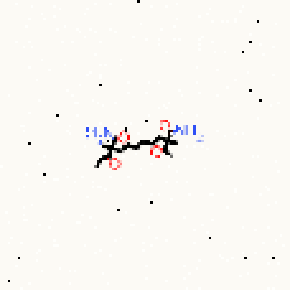 CCC(=O)C(C)(CCCCCCC(C)(C(C)=O)C(N)=O)C(N)=O